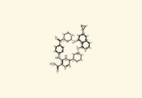 NC(=O)C1=C(Nc2ccc(C(=O)N3CCOCC3)cc2)NC(N2CCC[C@@H](Oc3nccc4cc(C5CC5)cc(F)c34)C2)N=N1